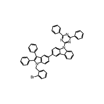 Brc1ccccc1Cn1c(-c2ccccc2)c(-c2ccccc2)c2cc(-c3ccc4c(c3)c3ccccc3n4-c3nc(-c4ccccc4)nc(-c4ccccc4)n3)ccc21